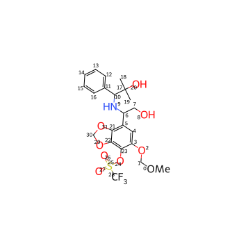 COCOc1cc(C(CO)NC(c2ccccc2)C(C)(C)O)c2c(c1OS(=O)(=O)C(F)(F)F)OCO2